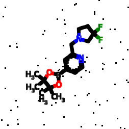 CC1(C)OB(c2ccnc(CN3CCC(F)(F)C3)c2)OC1(C)C